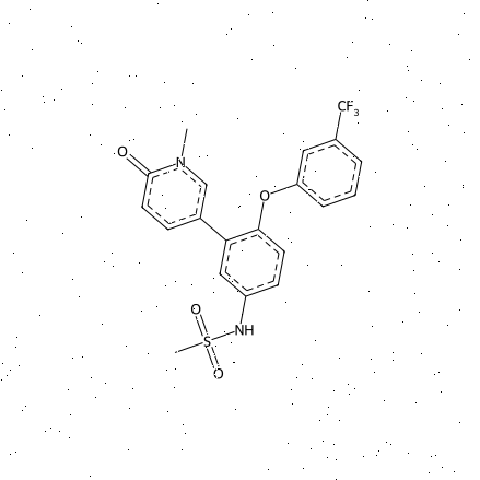 Cn1cc(-c2cc(NS(C)(=O)=O)ccc2Oc2cccc(C(F)(F)F)c2)ccc1=O